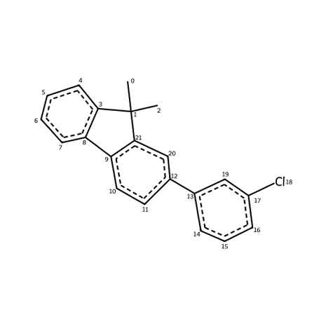 CC1(C)c2ccccc2-c2ccc(-c3cccc(Cl)c3)cc21